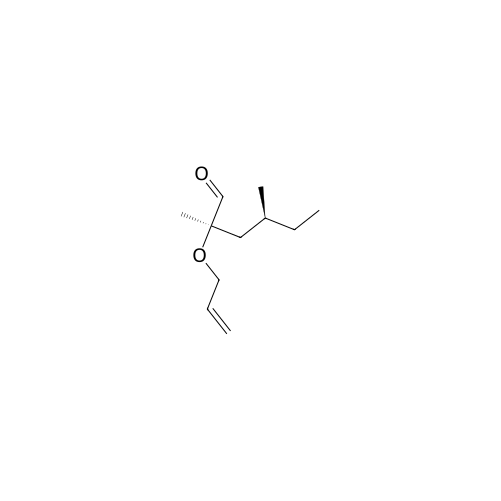 C=CCO[C@@](C)(C=O)C[C@@H](C)CC